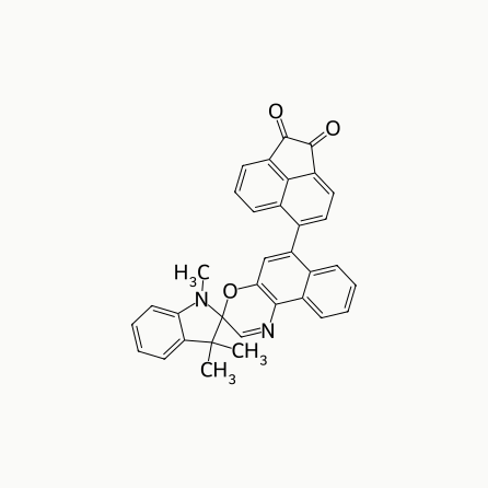 CN1c2ccccc2C(C)(C)C12C=Nc1c(cc(-c3ccc4c5c(cccc35)C(=O)C4=O)c3ccccc13)O2